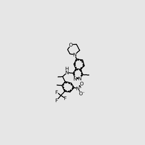 Cc1c(C(C)Nc2nnc(C)c3ccc(N4CCOCC4)cc23)cc([N+](=O)[O-])cc1C(F)(F)F